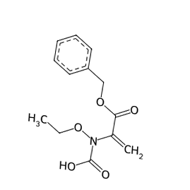 C=C(C(=O)OCc1ccccc1)N(OCC)C(=O)O